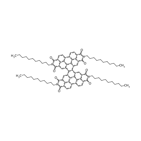 CCCCCCCCCCCn1c(=O)c2ccc3c4ccc5c(=O)n(CCCCCCCCCCC)c(=O)c6cc7c8c9cc%10c(=O)n(CCCCCCCCCCC)c(=O)c%11ccc%12c%13ccc%14c(=O)n(CCCCCCCCCCC)c(=O)c%15cc(c8c8cc(c1=O)c2c3c8c7c4c56)c(c%13c%14%15)c9c%12c%11%10